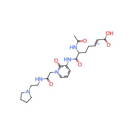 CC(=O)NC(CC/C=C/C(=O)O)C(=O)Nc1cccn(CC(=O)NCCN2CCCC2)c1=O